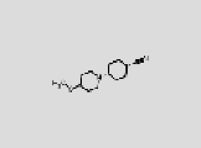 COC1CCN([C@H]2CC[C@H](C#N)CC2)CC1